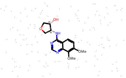 COc1ccc2c(N[C@@H]3COC[C@@H]3O)ncnc2c1OC